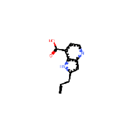 C=CCc1cc2nccc(C(=O)O)c2[nH]1